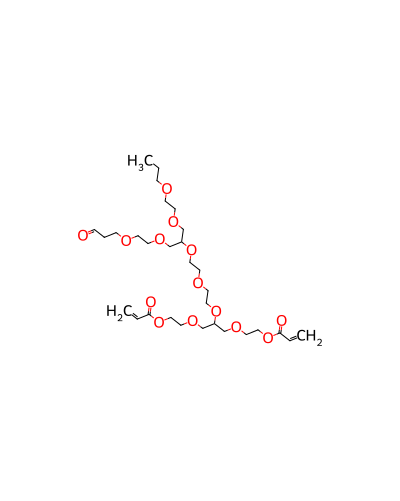 C=CC(=O)OCCOCC(COCCOC(=O)C=C)OCCOCCOC(COCCOCCC)COCCOCCC=O